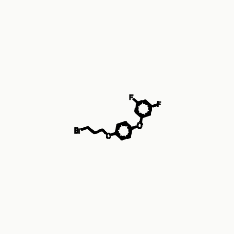 Fc1cc(F)cc(Oc2ccc(OCCCBr)cc2)c1